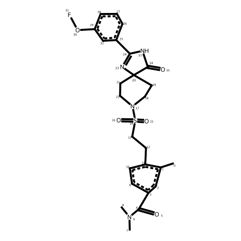 Cc1cc(C(=O)N(C)C)ccc1CCS(=O)(=O)N1CCC2(CC1)N=C(c1cccc(OF)c1)NC2=O